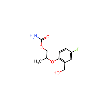 CC(COC(N)=O)Oc1ccc(F)cc1CO